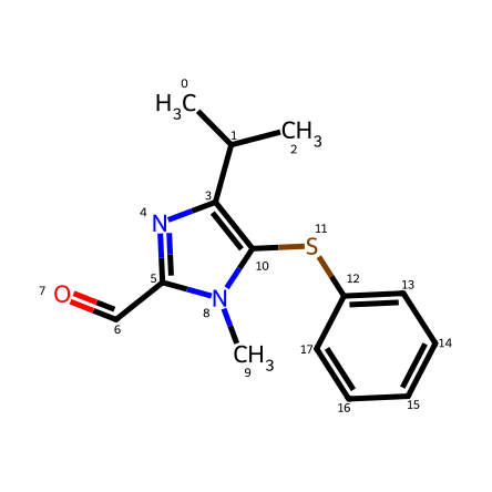 CC(C)c1nc(C=O)n(C)c1Sc1ccccc1